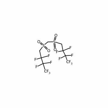 O=S(=O)(CC(F)(F)C(F)(F)C(F)(F)F)CS(=O)(=O)CC(F)(F)C(F)(F)C(F)(F)F